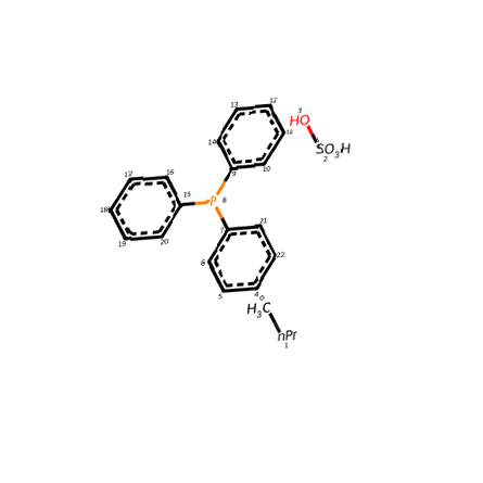 CCCC.O=S(=O)(O)O.c1ccc(P(c2ccccc2)c2ccccc2)cc1